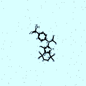 Cc1c(N(c2ccc(C(=O)O)cc2)C(C)C)sc2c1C(C)(C)CCC2(C)C